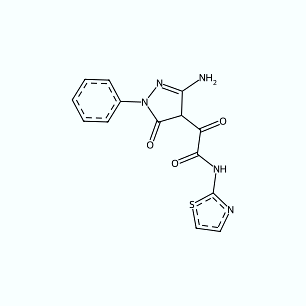 NC1=NN(c2ccccc2)C(=O)C1C(=O)C(=O)Nc1nccs1